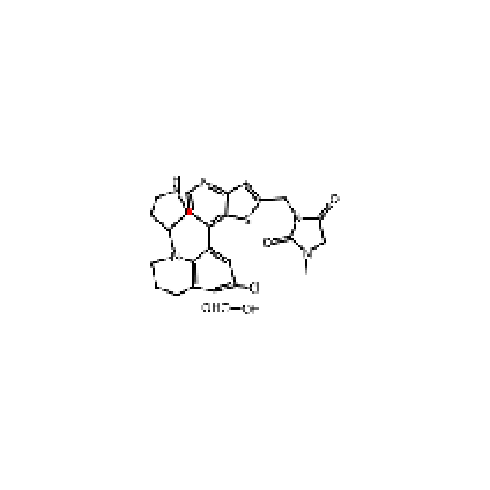 CN1CC(=O)N(Cc2cc3nccc(-c4cc(Cl)cc5c4N(C4CCNC4)CCC5)c3s2)C1=O.O=CO